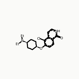 CCN(CC)[C@H]1CC[C@@H](Oc2ccc3c(=O)[nH]ccc3c2Cl)CC1